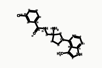 Cc1c[nH]c2ncnc(N3CC[C@](N)(CNC(=O)c4cccc(Cl)c4)C3)c12